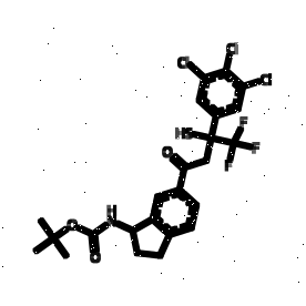 CC(C)(C)OC(=O)NC1CCc2ccc(C(=O)CC(S)(c3cc(Cl)c(Cl)c(Cl)c3)C(F)(F)F)cc21